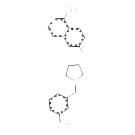 COc1cccc(CN2CC[C@H](Oc3ccc4c(N)nccc4c3)C2)c1